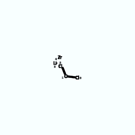 ClOCl.[Li].[Zr]